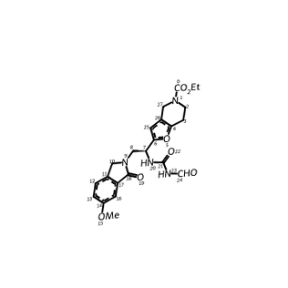 CCOC(=O)N1CCc2oc([C@H](CN3Cc4ccc(OC)cc4C3=O)NC(=O)NC=O)cc2C1